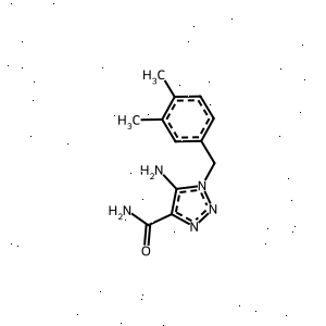 Cc1ccc(Cn2nnc(C(N)=O)c2N)cc1C